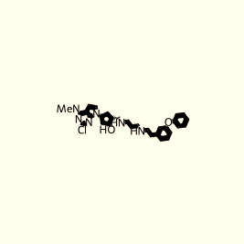 CNc1nc(Cl)nc2c1ccn2[C@@H]1C[C@H](CNCCCNCCc2cccc(Oc3ccccc3)c2)[C@@H](O)C1